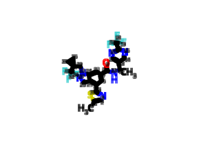 Cc1cnc(-c2cc(C(=O)N[C@H](C)c3cnc(C(F)(F)F)nc3)cc3c2cnn3CC2(C(F)(F)F)CC2)s1